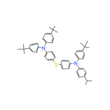 CC(C)c1ccc(N(c2ccc(Sc3ccc(N(c4ccc(C(C)(C)C)cc4)c4ccc(C(C)(C)C)cc4)cc3)cc2)c2ccc(C(C)(C)C)cc2)cc1